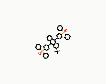 CC(C)(C)c1ccc2c(-c3ccc(P(=O)(c4ccccc4)c4ccccc4)cc3)c3ccccc3c(-c3ccc(P(=O)(c4ccccc4)c4ccccc4)cc3)c2c1